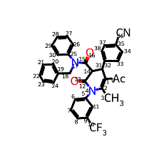 CC(=O)C1=C(C)N(c2cccc(C(F)(F)F)c2)C(=O)C(C(=O)N(Cc2ccccc2)c2ccccc2)C1c1ccc(C#N)cc1